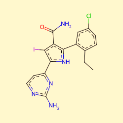 CCc1ccc(Cl)cc1-c1[nH]c(-c2ccnc(N)n2)c(I)c1C(N)=O